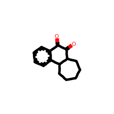 O=C1C(=O)C2CCCCCC2c2ccccc21